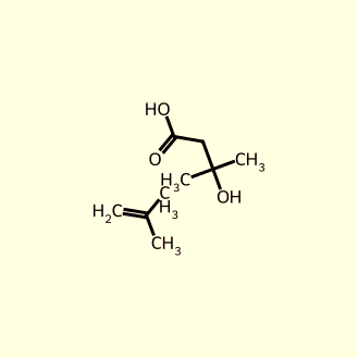 C=C(C)C.CC(C)(O)CC(=O)O